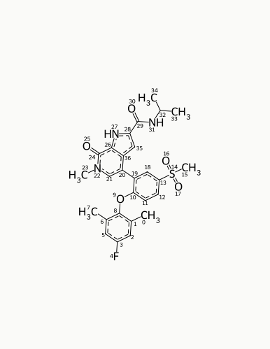 Cc1cc(F)cc(C)c1Oc1ccc(S(C)(=O)=O)cc1-c1cn(C)c(=O)c2[nH]c(C(=O)NC(C)C)cc12